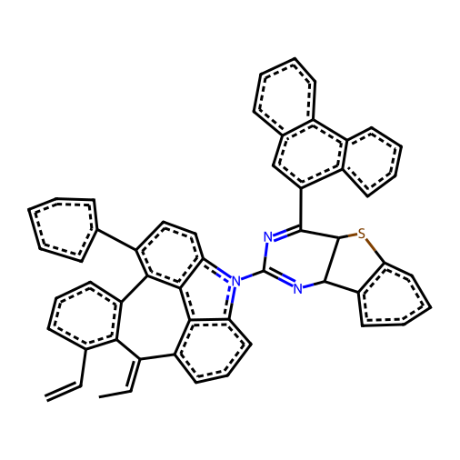 C=Cc1cccc2c1/C(=C\C)c1cccc3c1c1c-2c(-c2ccccc2)ccc1n3C1=NC2c3ccccc3SC2C(c2cc3ccccc3c3ccccc23)=N1